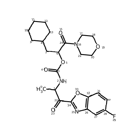 CC(NC(=O)OC(CC1CCCCC1)C(=O)N1CCOCC1)C(=O)c1nc2cc(F)ccc2o1